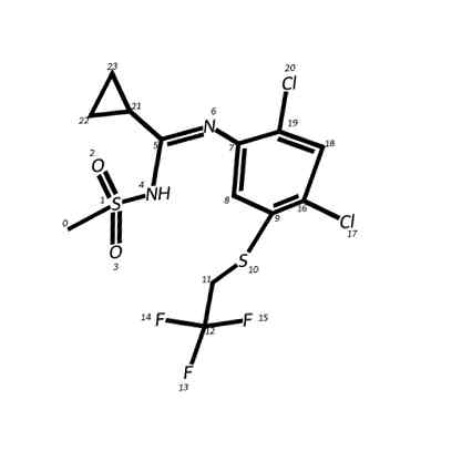 CS(=O)(=O)N/C(=N\c1cc(SCC(F)(F)F)c(Cl)cc1Cl)C1CC1